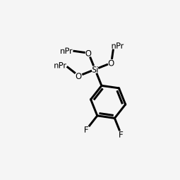 CCCO[Si](OCCC)(OCCC)c1ccc(F)c(F)c1